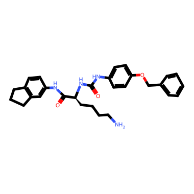 NCCCC[C@H](NC(=O)Nc1ccc(OCc2ccccc2)cc1)C(=O)Nc1ccc2c(c1)CCC2